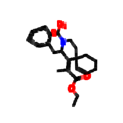 CCOC(=O)C(C)=C1C(Cc2ccccc2)N(C(=O)O)CCC12C=CCCC2